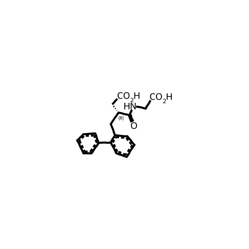 O=C(O)CNC(=O)[C@@H](CC(=O)O)Cc1ccccc1-c1ccccc1